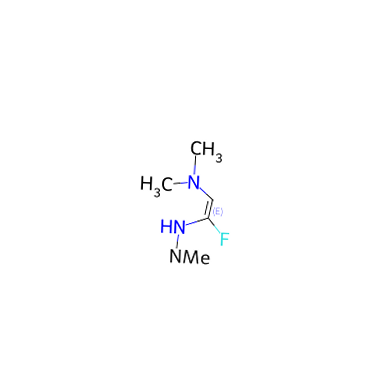 CNN/C(F)=C\N(C)C